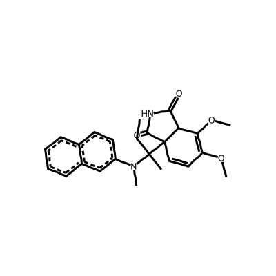 CCC(C)(N(C)c1ccc2ccccc2c1)C12C=CC(OC)=C(OC)C1C(=O)NC2=O